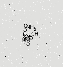 CCCCN1C(=O)[C@H](CC2CCCCC2)NC(=O)C12CCN(Cc1ccc(C(N)=O)cc1)CC2